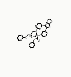 O=C(Cc1ccccc1)Nc1cccc(-c2nc3n(c2-c2ccnc(N4CCO[C@H](COc5ccccc5)C4)n2)CCS3)c1